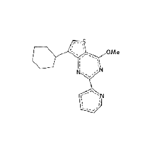 COc1nc(-c2ccccn2)nc2c(C3CCCCC3)csc12